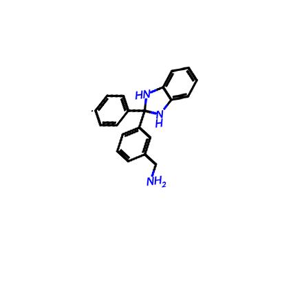 NCc1cccc(C2(c3cc[c]cc3)Nc3ccccc3N2)c1